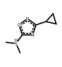 C[SH](C)c1nc(C2CC2)no1